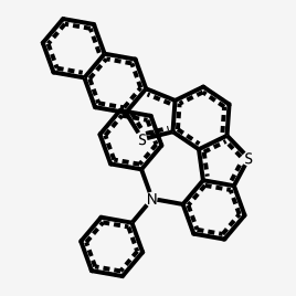 c1ccc(N(c2ccccc2)c2cccc3sc4ccc5c6cc7ccccc7cc6sc5c4c23)cc1